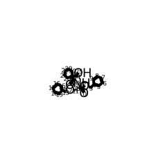 O=C(OCc1ccccc1)[C@H](COCc1ccccc1)NC(=O)C1(CO)CCCCC1